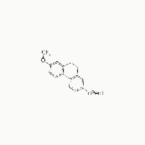 CCCCCc1ccc2c(c1)CCc1cc(OC(F)(F)F)ccc1-2